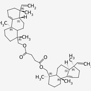 C=C[C@@]1(C)CCC=C2[C@H]1CCC1[C@](C)(COC(=O)CCC(=O)OC[C@]3(C)CCC[C@@]4(C)C5=CCC[C@](C)(C=C)[C@@H]5CCC34)CCC[C@@]21C